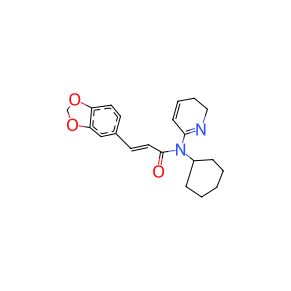 O=C(/C=C/c1ccc2c(c1)OCO2)N(C1=NCCC=C1)C1CCCCC1